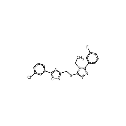 CCn1c(SCc2noc(-c3cccc(Cl)c3)n2)nnc1-c1cccc(F)c1